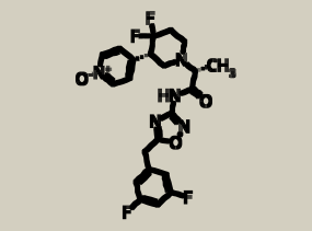 C[C@H](C(=O)Nc1noc(Cc2cc(F)cc(F)c2)n1)N1CCC(F)(F)[C@@H](c2cc[n+]([O-])cc2)C1